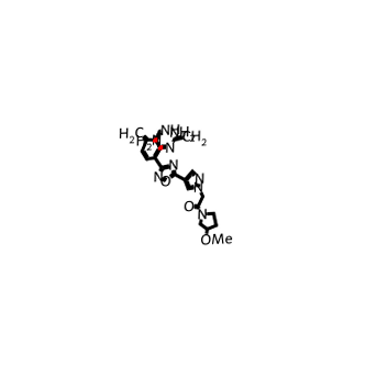 C=C(N)/N=C\C(=C/N)C(=C)/C=C\C(=C/N)c1noc(-c2cnn(CC(=O)N3CCC(OC)C3)c2)n1